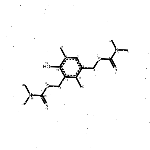 Cc1cc(CSC(=S)N(C)C)c(C)c(CSC(=S)N(C)C)c1O